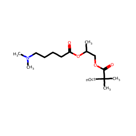 CCCCCCCCC(C)(C)C(=O)OCC(C)OC(=O)CCCCN(C)C